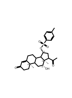 CC(=O)C1C[C@H](OS(=O)(=O)c2ccc(C)cc2)C2C3CCC4=CC(=O)CC[C@]4(C)C3C[C@@H](O)[C@]12C